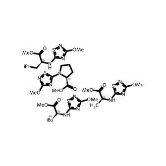 CC[C@H](C)[C@H](Nc1nc(OC)ns1)C(=O)OC.COC(=O)[C@@H]1CCCN1c1nc(OC)ns1.COC(=O)[C@H](C)Nc1nc(OC)ns1.COC(=O)[C@H](CC(C)C)Nc1nc(OC)ns1